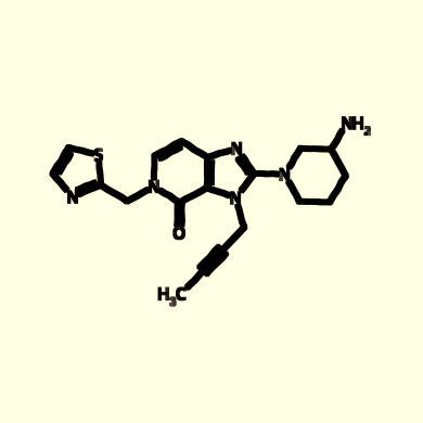 CC#CCn1c(N2CCCC(N)C2)nc2ccn(Cc3nccs3)c(=O)c21